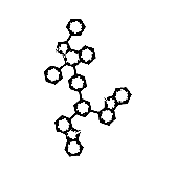 c1ccc(-c2cnn3c(-c4ccccc4)c(-c4ccc(-c5cc(-c6cccc7c6sc6ccccc67)cc(-c6cccc7c6sc6ccccc67)c5)cc4)c4ccccc4c23)cc1